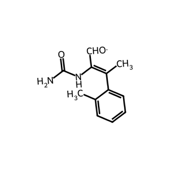 CC(=C([C]=O)NC(N)=O)c1ccccc1C